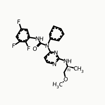 COC[C@H](C)Nc1nccc(N(C(=O)Nc2cc(F)cc(F)c2F)c2ccccc2)n1